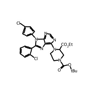 CCOC(=O)C1CN(C(=O)OC(C)(C)C)CCN1c1ncnc2c1nc(-c1ccccc1Cl)n2-c1ccc(Cl)cc1